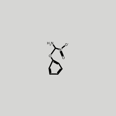 NC(Oc1ccccc1)[N+](=O)[O-]